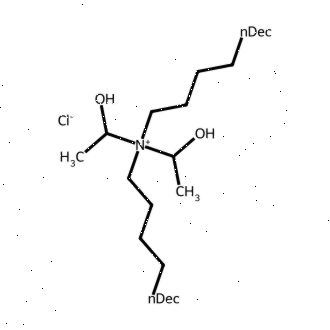 CCCCCCCCCCCCCC[N+](CCCCCCCCCCCCCC)(C(C)O)C(C)O.[Cl-]